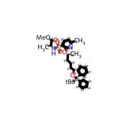 COC(=O)[C@H](C)NS(=O)(=O)c1ccc(C)nc1O[C@H](C)CCCCO[Si](c1ccccc1)(c1ccccc1)C(C)(C)C